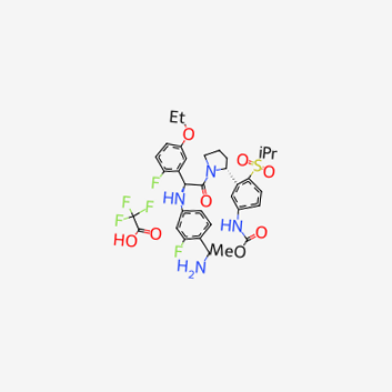 CCOc1ccc(F)c([C@H](Nc2ccc(CN)c(F)c2)C(=O)N2CCC[C@@H]2c2cc(NC(=O)OC)ccc2S(=O)(=O)C(C)C)c1.O=C(O)C(F)(F)F